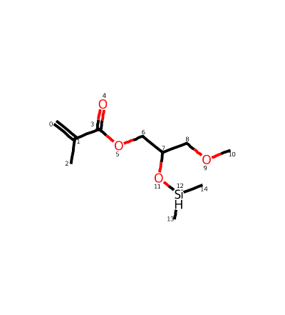 C=C(C)C(=O)OCC(COC)O[SiH](C)C